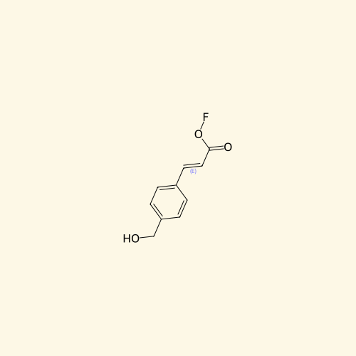 O=C(/C=C/c1ccc(CO)cc1)OF